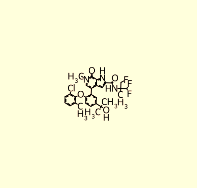 Cc1cccc(Cl)c1Oc1ccc(C(C)(C)O)cc1-c1cn(C)c(=O)c2[nH]c(C(=O)NC(C)(CF)C(F)F)cc12